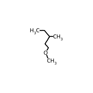 CC[C](C)CCOC